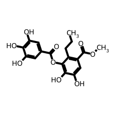 CCCc1c(C(=O)OC)cc(O)c(O)c1OC(=O)c1cc(O)c(O)c(O)c1